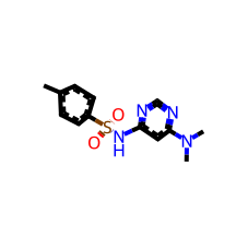 Cc1ccc(S(=O)(=O)Nc2cc(N(C)C)ncn2)cc1